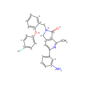 Cc1nc(-c2cccc(N)c2)cc2c1C(=O)N(Cc1ccccc1Oc1ccc(F)cc1)C2